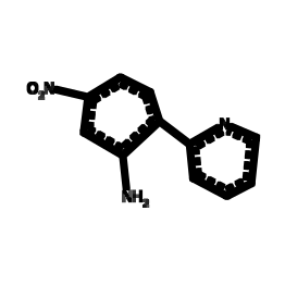 Nc1cc([N+](=O)[O-])ccc1-c1ccccn1